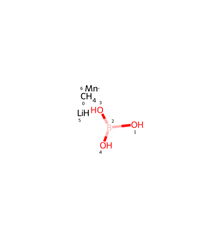 C.OB(O)O.[LiH].[Mn]